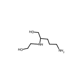 NCCCC(CO)NCCO